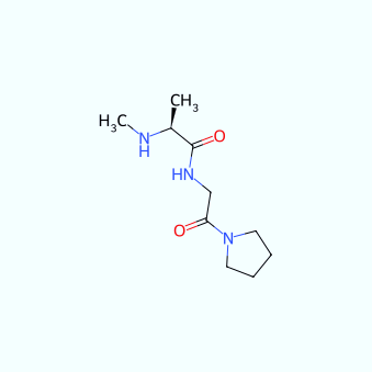 CN[C@@H](C)C(=O)NCC(=O)N1CCCC1